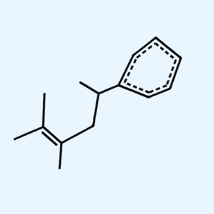 CC(C)=C(C)CC(C)c1ccccc1